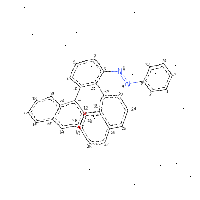 c1ccc(N=Nc2cccc(-c3cccc4ccccc34)c2-c2cccc3ccccc23)cc1